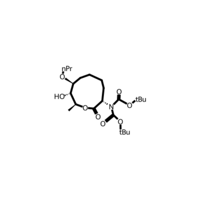 CCCO[C@H]1CCCC[C@H](N(C(=O)OC(C)(C)C)C(=O)OC(C)(C)C)C(=O)O[C@@H](C)[C@@H]1O